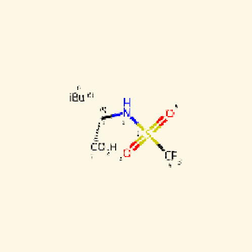 CC[C@H](C)[C@H](NS(=O)(=O)C(F)(F)F)C(=O)O